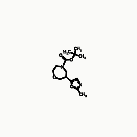 Cc1ncc([C@H]2COCCN(C(=O)OC(C)(C)C)C2)o1